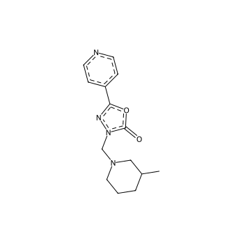 CC1CCCN(Cn2nc(-c3ccncc3)oc2=O)C1